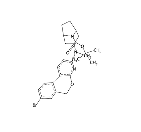 CN(c1ccc2c(n1)OCc1cc(Br)ccc1-2)C1CC2CCC(C1)N2C(=O)OC(C)(C)C